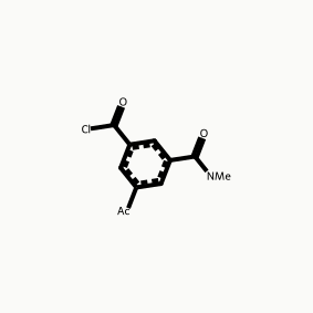 CNC(=O)c1cc(C(C)=O)cc(C(=O)Cl)c1